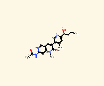 CCC[C@H](O)c1cc(C)c(-c2cc3cnc(NC(C)=O)cc3n(C)c2=O)cn1